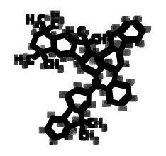 CC1(C)CCC(C)(C)c2cc3c(cc21)-c1cc(N(c2ccc4c(c2)C(C)(C)c2ccccc2-4)c2ccccc2-c2ccc4sc5ccccc5c4c2)ccc1C3(C)C